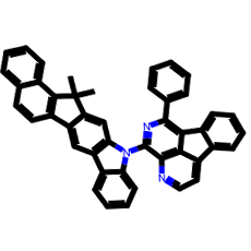 CC1(C)c2cc3c(cc2-c2ccc4ccccc4c21)c1ccccc1n3-c1nc(-c2ccccc2)c2c3c(ccnc13)-c1ccccc1-2